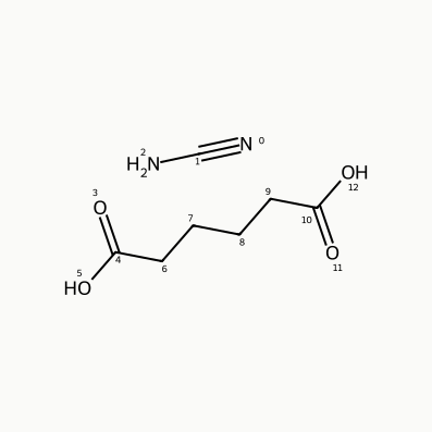 N#CN.O=C(O)CCCCC(=O)O